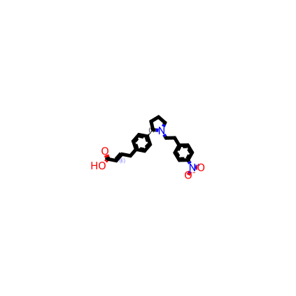 O=C(O)/C=C/Cc1ccc([C@@H]2CCCN2CCc2ccc([N+](=O)[O-])cc2)cc1